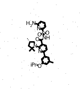 Cc1cc(OC(C)C)cc(-c2ccc(C(=O)NS(=O)(=O)c3cccc(N)n3)c(N3C[C@@H](C)CC3(C)C)n2)c1